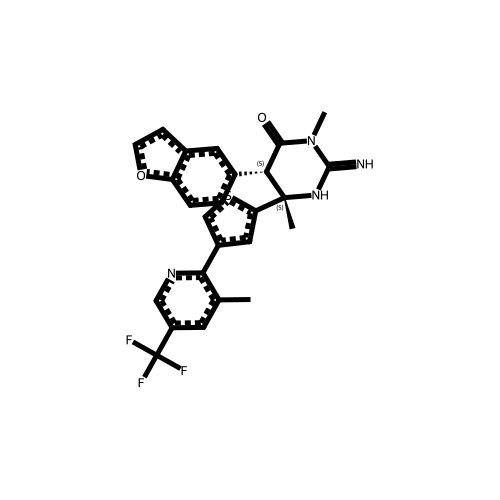 Cc1cc(C(F)(F)F)cnc1-c1csc([C@@]2(C)NC(=N)N(C)C(=O)[C@H]2c2ccc3occc3c2)c1